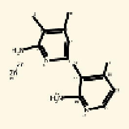 Cc1ccnc(N)c1C.Cc1ccnc(N)c1C.[Zn].[Zn]